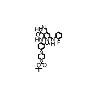 COc1cc(N2CCN(C(=O)OC(C)(C)C)CC2)ccc1Nc1nc(Nc2ccccc2F)cc2cn[nH]c(=O)c12